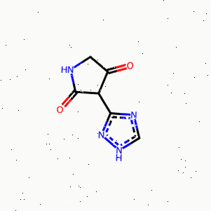 O=C1CNC(=O)C1c1nc[nH]n1